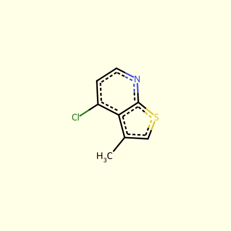 Cc1csc2nccc(Cl)c12